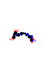 Cc1c(-c2ccc(O)cc2)n(Cc2ccc(N3CCC(CCCN4CCN(c5ccc6c(C7CCC(=O)NC7=O)nn(C)c6c5)CC4)CC3)cc2)c2ccc(O)cc12